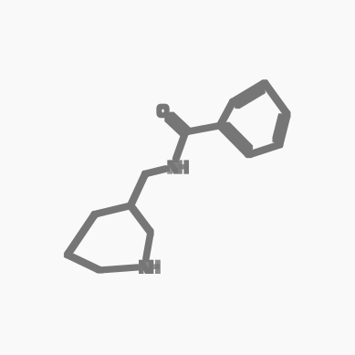 O=C(NCC1CCCNC1)c1ccccc1